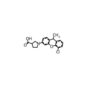 CC1c2ccc(N3CCC(C(=O)O)C3)cc2Oc2c(Cl)cccc21